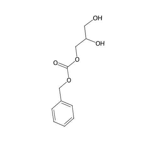 O=C(OCc1ccccc1)OCC(O)CO